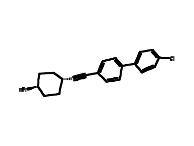 CCC[C@H]1CC[C@H](C#Cc2ccc(-c3ccc(Cl)cc3)cc2)CC1